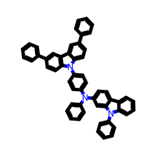 c1ccc(-c2ccc3c(c2)c2cc(-c4ccccc4)ccc2n3-c2ccc(N(c3ccccc3)c3ccc4c5ccccc5n(-c5ccccc5)c4c3)cc2)cc1